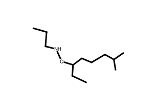 CCCNOC(CC)CCCC(C)C